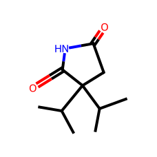 CC(C)C1(C(C)C)CC(=O)NC1=O